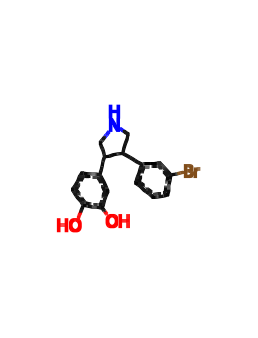 Oc1ccc(C2CNCC2c2cccc(Br)c2)cc1O